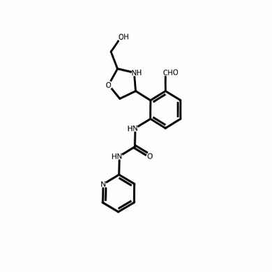 O=Cc1cccc(NC(=O)Nc2ccccn2)c1C1COC(CO)N1